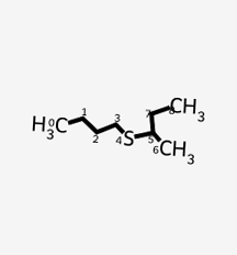 CCCCSC(C)CC